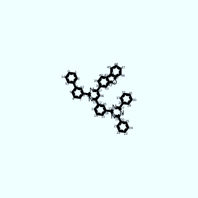 c1ccc(-c2cccc(-c3nc(-c4cccc(-c5nc(-c6ccccc6)nc(-c6ccccc6)n5)c4)cc(-c4ccc5c(c4)oc4ccccc45)n3)c2)cc1